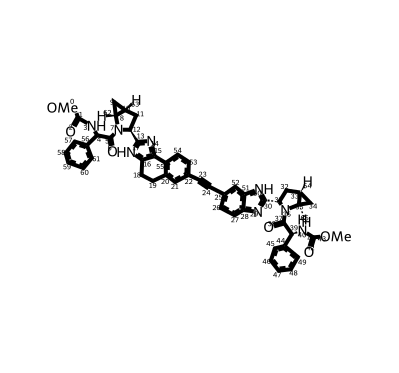 COC(=O)NC(C(=O)N1[C@@H]2C[C@@H]2C[C@H]1c1nc2c([nH]1)CCc1cc(C#Cc3ccc4nc([C@@H]5C[C@H]6C[C@H]6N5C(=O)[C@H](NC(=O)OC)c5ccccc5)[nH]c4c3)ccc1-2)c1ccccc1